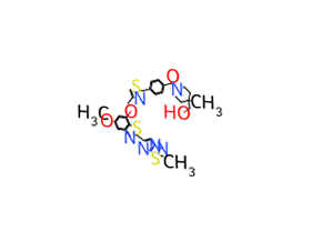 COc1cc(OCc2csc(-c3ccc(C(=O)N4CCC(C)(CO)CC4)cc3)n2)c2sc(-c3cn4nc(C)sc4n3)nc2c1